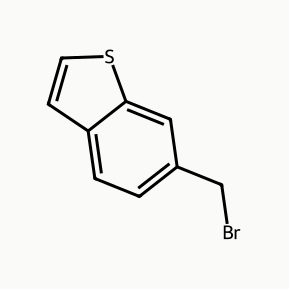 BrCc1ccc2ccsc2c1